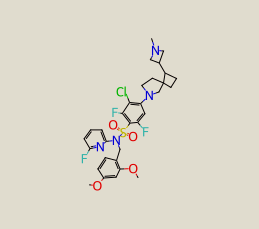 COc1ccc(CN(c2cccc(F)n2)S(=O)(=O)c2c(F)cc(N3CCC4(CCC4C4CN(C)C4)C3)c(Cl)c2F)c(OC)c1